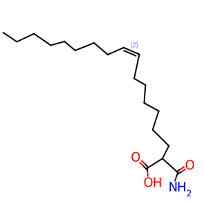 CCCCCCCC/C=C\CCCCCCC(C(N)=O)C(=O)O